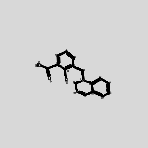 O=C(O)c1cccc(CN2CN=Cc3ccccc32)c1Cl